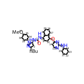 CCCCc1cc(NC(=O)Nc2ccc(Oc3ccnc(Nc4ccccc4)n3)c3ccccc23)n(-c2ccc(OC)cc2)n1